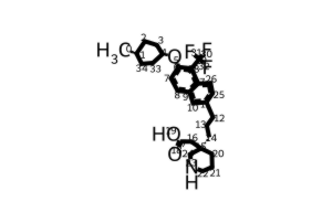 C[C@H]1CC[C@@H](Oc2ccc3cc(CCC[C@]4(CC(=O)O)CCCNC4)ccc3c2C(F)(F)F)CC1